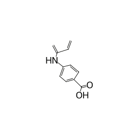 C=CC(=C)Nc1ccc(C(=O)O)cc1